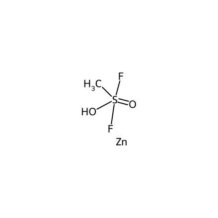 CS(=O)(O)(F)F.[Zn]